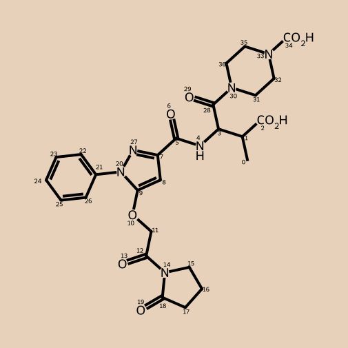 CC(C(=O)O)C(NC(=O)c1cc(OCC(=O)N2CCCC2=O)n(-c2ccccc2)n1)C(=O)N1CCN(C(=O)O)CC1